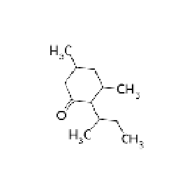 CCC(C)C1C(=O)CC(C)CC1C